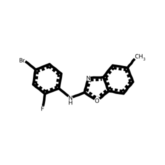 Cc1ccc2oc(Nc3ccc(Br)cc3F)nc2c1